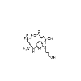 NC(=NCC(F)(F)F)Nc1ccnc(SCCCO)n1.O=C(O)C=CC(=O)O